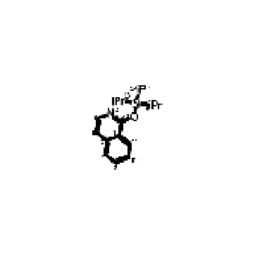 CC(C)[Si](Oc1nccc2ccccc12)(C(C)C)C(C)C